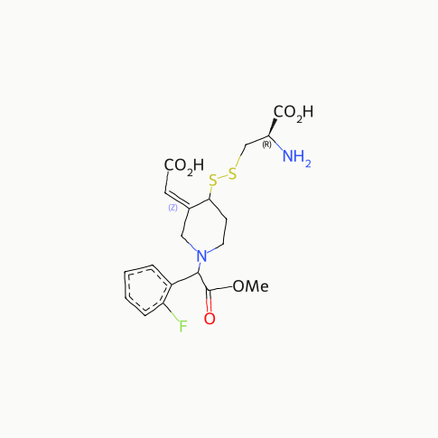 COC(=O)C(c1ccccc1F)N1CCC(SSC[C@H](N)C(=O)O)/C(=C\C(=O)O)C1